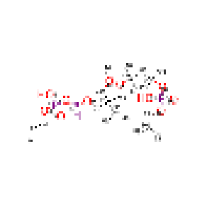 CCCOP(=O)(O)OPOCC(COC)(COC(C)(C)CC(C)(C)OP(=O)(O)OCC(C)C)C(C)C